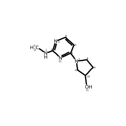 CNc1nccc(N2CCC(O)C2)n1